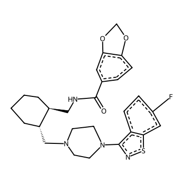 O=C(NC[C@@H]1CCCC[C@H]1CN1CCN(c2nsc3cc(F)ccc23)CC1)c1ccc2c(c1)OCO2